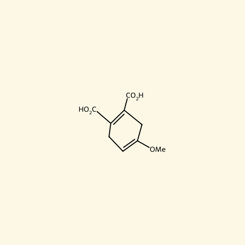 COC1=CCC(C(=O)O)=C(C(=O)O)C1